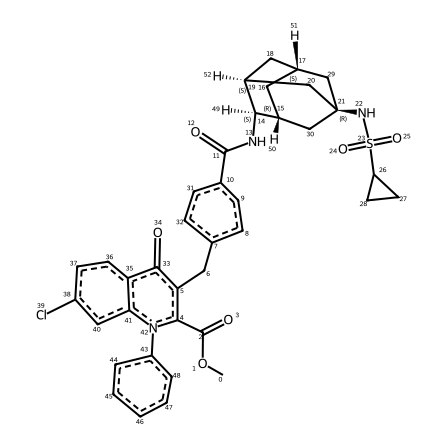 COC(=O)c1c(Cc2ccc(C(=O)N[C@@H]3[C@@H]4C[C@@H]5C[C@H]3C[C@](NS(=O)(=O)C3CC3)(C5)C4)cc2)c(=O)c2ccc(Cl)cc2n1-c1ccccc1